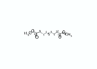 COC(=O)CCCSCCCC(=O)OC